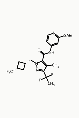 CSc1cc(NC(=O)c2c(C)c(C(C)(F)F)nn2C[C@H]2C[C@@H](C(F)(F)F)C2)ccn1